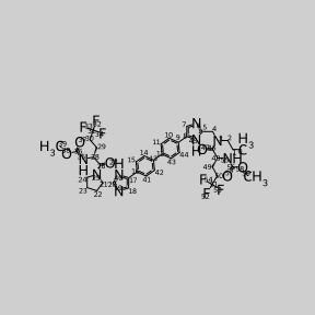 CCCN(Cc1ncc(-c2ccc(-c3ccc(-c4cnc([C@@H]5CCCN5C(=O)[C@H](CCC(F)(F)F)NC(=O)OC)[nH]4)cc3)cc2)[nH]1)C(=O)[C@H](CCC(F)(F)F)NC(=O)OC